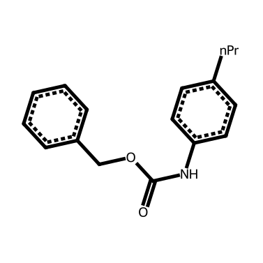 CCCc1ccc(NC(=O)OCc2ccccc2)cc1